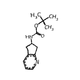 CC(C)(C)OC(=O)NC1Cc2cccnc2C1